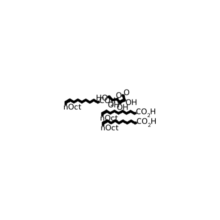 CCCCCCCC/C=C\CCCCCCCC(=O)O.CCCCCCCC/C=C\CCCCCCCC(=O)O.CCCCCCCC/C=C\CCCCCCCC(=O)O.O=C1O[C@H]([C@@H](O)CO)C(O)=C1O